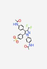 CC(=O)Nc1ccc(-c2c(C(F)F)nn(-c3ccc(NC(C)=O)cc3)c2-c2ccc(S(C)(=O)=O)cc2)cc1